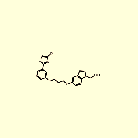 CCc1coc(-c2cccc(OCCCOc3ccc4c(ccn4CC(=O)O)c3)c2)n1